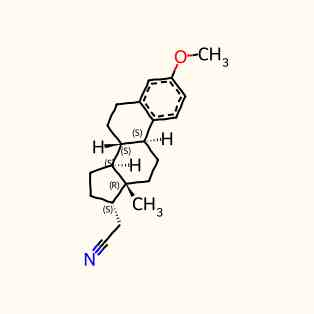 COc1ccc2c(c1)CC[C@@H]1[C@@H]2CC[C@]2(C)[C@H](CC#N)CC[C@@H]12